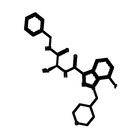 CC(C)(C)[C@H](NC(=O)c1nn(CC2CCOCC2)c2c(F)cccc12)C(=O)NCc1ccccc1